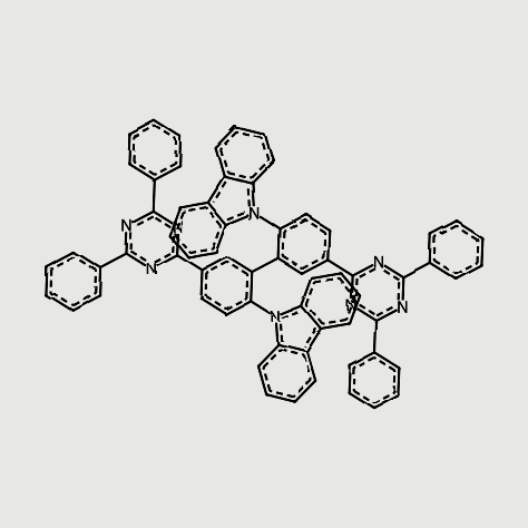 c1ccc(-c2nc(-c3ccccc3)nc(-c3ccc(-n4c5ccccc5c5ccccc54)c(-c4cc(-c5nc(-c6ccccc6)nc(-c6ccccc6)n5)ccc4-n4c5ccccc5c5ccccc54)c3)n2)cc1